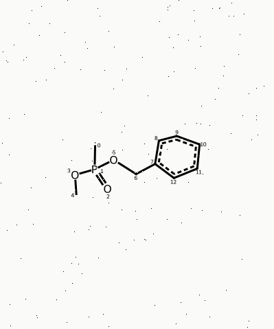 [CH2]P(=O)(OC)OCc1ccccc1